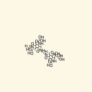 CN(CC(O)CO)C(=O)c1c(I)c(NC(=O)CO)c(I)c(C(=O)NCCCNC(=O)c2c(I)c(NC(=O)C(O)CO)c(I)c(C(=O)N(C)CC(O)CO)c2I)c1I